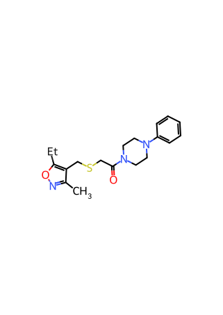 CCc1onc(C)c1CSCC(=O)N1CCN(c2ccccc2)CC1